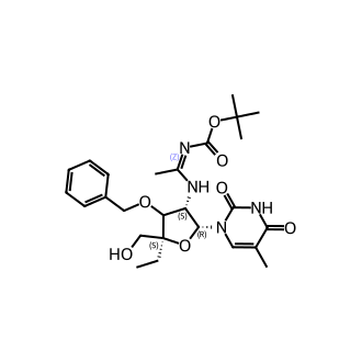 CC[C@@]1(CO)O[C@@H](n2cc(C)c(=O)[nH]c2=O)[C@@H](N/C(C)=N\C(=O)OC(C)(C)C)C1OCc1ccccc1